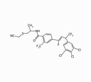 CC(CSCC#N)NC(=O)c1ccc(/C(F)=C/C(c2cc(Cl)c(Cl)c(Cl)c2)C(F)(F)F)cc1C(F)(F)F